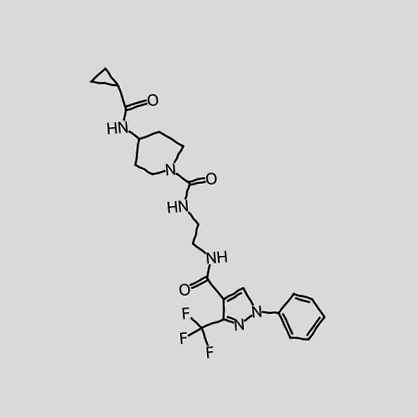 O=C(NCCNC(=O)N1CCC(NC(=O)C2CC2)CC1)c1cn(-c2ccccc2)nc1C(F)(F)F